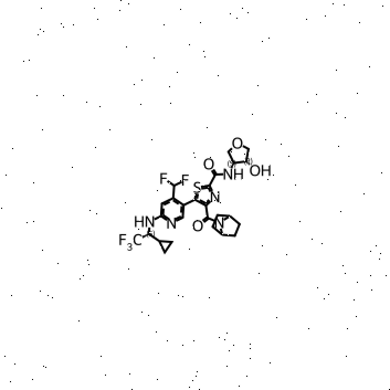 O=C(N[C@H]1COC[C@@H]1O)c1nc(C(=O)N2C3CCC2CC3)c(-c2cnc(N[C@@H](C3CC3)C(F)(F)F)cc2C(F)F)s1